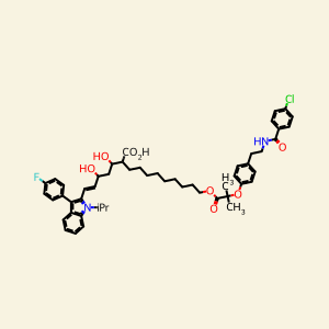 CC(C)n1c(/C=C/C(O)CC(O)C(CCCCCCCCCOC(=O)C(C)(C)Oc2ccc(CCNC(=O)c3ccc(Cl)cc3)cc2)C(=O)O)c(-c2ccc(F)cc2)c2ccccc21